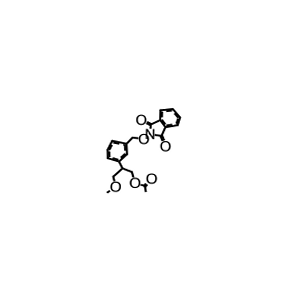 COCC(COC(C)=O)c1cccc(CON2C(=O)c3ccccc3C2=O)c1